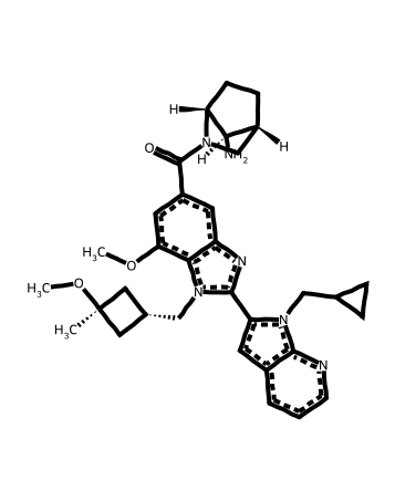 COc1cc(C(=O)N2C[C@H]3CC[C@@H]2[C@@H]3N)cc2nc(-c3cc4cccnc4n3CC3CC3)n(C[C@H]3C[C@](C)(OC)C3)c12